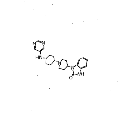 O=c1[nH]c2ccccc2n1C1CCN([C@H]2CC[C@@H](Nc3cncnc3)CC2)CC1